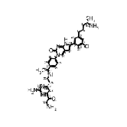 C[C@H](N)CCCc1cc(Cl)c(F)c(-c2cc3cn(-c4ccc([C@H](C)NCC[C@H](CNC(=O)CN)NC(=N)N)cc4)c(=O)nc3[nH]2)c1